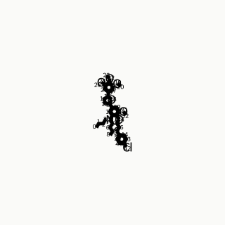 CCCCN(CCCC)c1cc(C2CCC(c3cc(OC)c(OC)c(OC)c3)O2)cc(OC)c1OCCSc1ccc(Cl)cc1